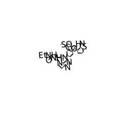 CCNC(=O)NCCn1ccc2ncnc(Nc3ccc(Oc4cccc5sncc45)c(Cl)c3)c21.CS(=O)(=O)O